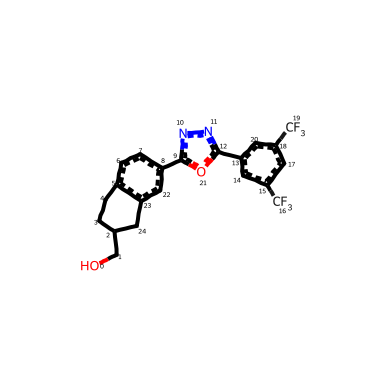 OCC1CCc2ccc(-c3nnc(-c4cc(C(F)(F)F)cc(C(F)(F)F)c4)o3)cc2C1